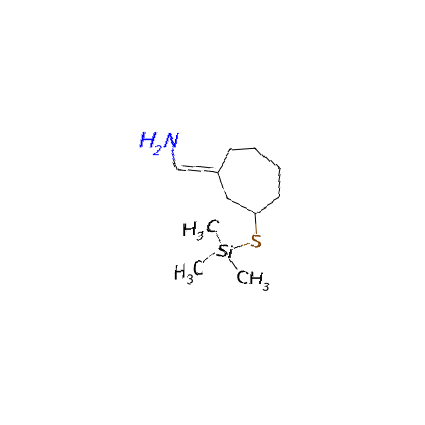 C[Si](C)(C)SC1CCCCC(=CN)C1